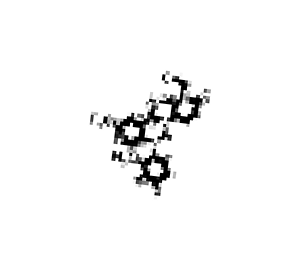 Cc1c(N2CN(c3ccc(=O)n(CCl)c3C)C(=O)c3cc(C(F)(F)F)ncc32)ccc(F)c1F